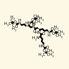 CC(C)(C)OC(=O)NCCC[C@@H](CNC(=O)C[C@H](CCCNC(=O)OC(C)(C)C)NC(=O)[C@@H](N)CCCNC(=O)OC(C)(C)C)NC(=O)OC(C)(C)C